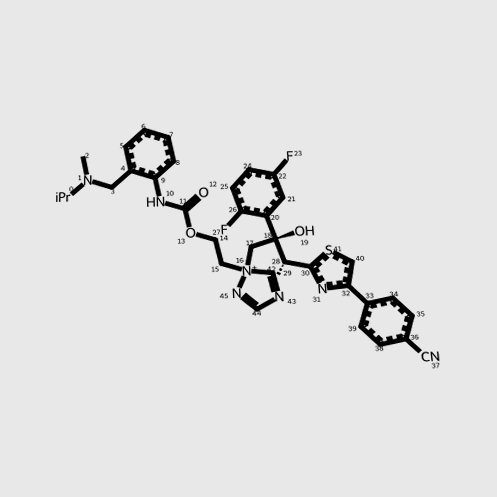 CC(C)N(C)Cc1ccccc1NC(=O)OCC[N+]1(C[C@](O)(c2cc(F)ccc2F)[C@@H](C)c2nc(-c3ccc(C#N)cc3)cs2)C=NC=N1